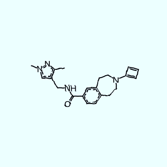 Cc1nn(C)cc1CNC(=O)c1ccc2c(c1)CCN(C1=CC=C1)CC2